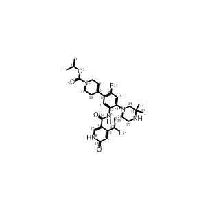 CC(C)OC(=O)N1CC=C(c2cc(NC(=O)c3c[nH]c(=O)cc3C(F)F)c(N3CCNC(C)(C)C3)cc2F)CC1